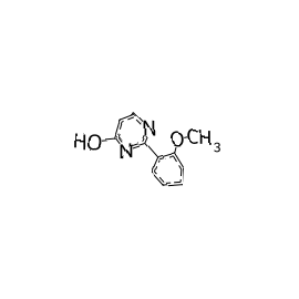 COc1ccccc1-c1nccc(O)n1